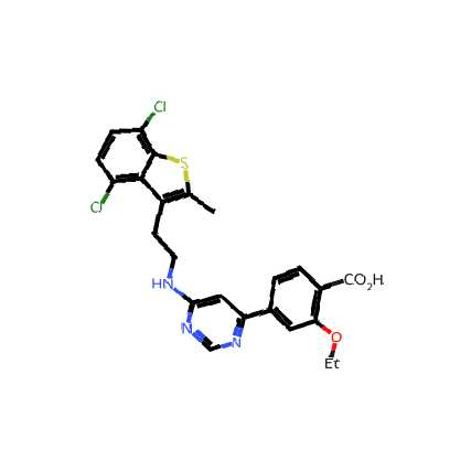 CCOc1cc(-c2cc(NCCc3c(C)sc4c(Cl)ccc(Cl)c34)ncn2)ccc1C(=O)O